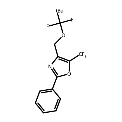 CC(C)(C)C(F)(F)OCc1nc(-c2ccccc2)oc1C(F)(F)F